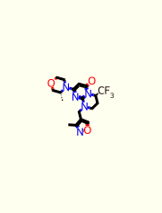 Cc1nocc1CN1CC[C@H](C(F)(F)F)n2c1nc(N1CCOC[C@H]1C)cc2=O